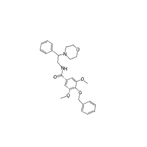 COc1cc(C(=O)NCC(c2ccccc2)N2CCOCC2)cc(OC)c1OCc1ccccc1